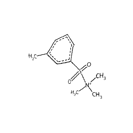 [CH2]c1cccc(S(=O)(=O)[N+](C)(C)C)c1